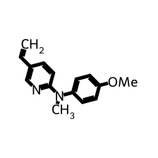 C=Cc1ccc(N(C)c2ccc(OC)cc2)nc1